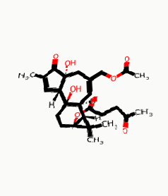 CC(=O)CCC(=O)O[C@@]12CC[C@@]3(O)[C@@H](C=C(COC(C)=O)C[C@]4(O)C(=O)C(C)=C[C@@H]34)[C@@H]1C2(C)C